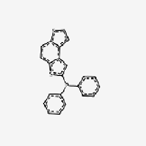 c1ccc(P(c2ccccc2)c2cc3c(ccc4sccc43)s2)cc1